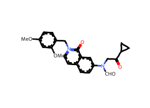 COc1ccc(Cn2ccc3ccc(N(C=O)CC(=O)C4CC4)cc3c2=O)c(OC)c1